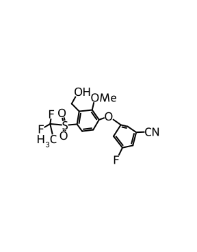 COc1c(Oc2cc(F)cc(C#N)c2)ccc(S(=O)(=O)C(C)(F)F)c1CO